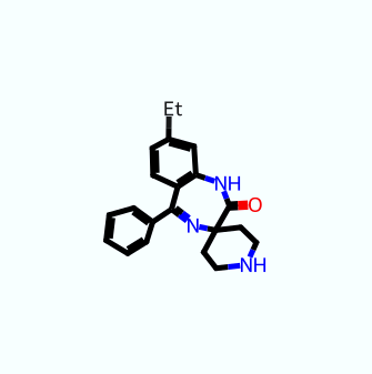 CCc1ccc2c(c1)NC(=O)C1(CCNCC1)N=C2c1ccccc1